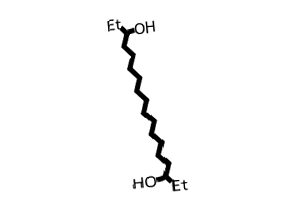 CCC(O)CCCCCCCCCCCCC(O)CC